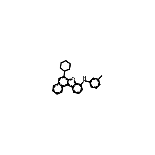 Cc1cccc(Nc2cccc3c2oc2c(C4CCCCC4)cc4ccccc4c23)c1